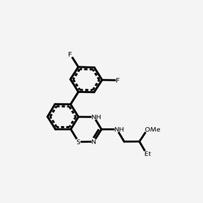 CCC(CNC1=NSc2cccc(-c3cc(F)cc(F)c3)c2N1)OC